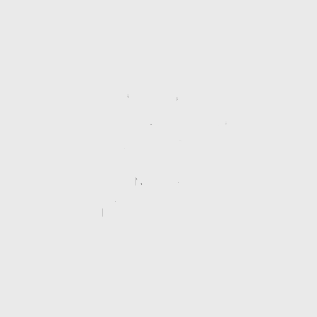 CC1N(P)CC(=O)C1(C)C